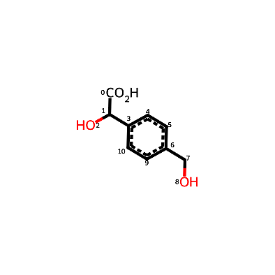 O=C(O)C(O)c1ccc(CO)cc1